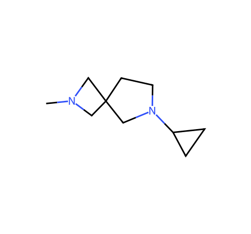 CN1CC2(CCN(C3CC3)C2)C1